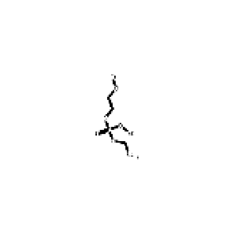 CCOCCSP(=O)(OCC)OCC(Cl)(Cl)Cl